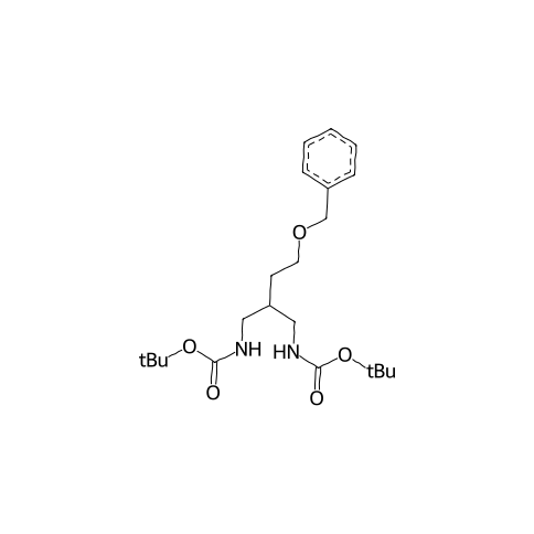 CC(C)(C)OC(=O)NCC(CCOCc1ccccc1)CNC(=O)OC(C)(C)C